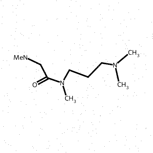 CNCC(=O)N(C)CCCN(C)C